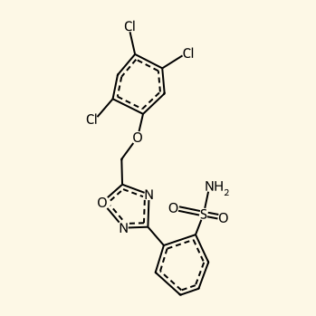 NS(=O)(=O)c1ccccc1-c1noc(COc2cc(Cl)c(Cl)cc2Cl)n1